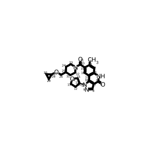 Cc1cc2[nH]c(=O)c3cnn([C@H]4CCOC4)c3c2cc1C(=O)N1CCC(COC2CC2)CC1